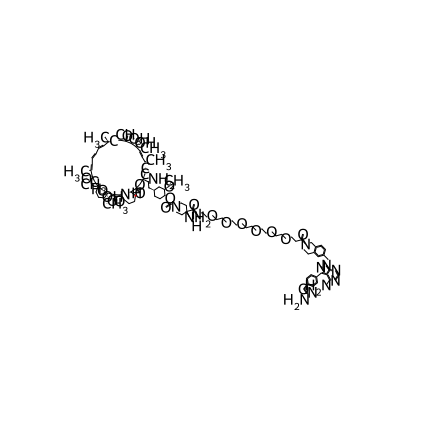 CO[C@H]1C[C@@H]2CC[C@@H](C)[C@@](O)(O2)C(=O)C(=O)N2CCCC[C@H]2C(=O)O[C@H]([C@H](N)C[C@@H]2CC[C@@H](OC(=O)N3CCC(N)(C(=O)NCCOCCOCCOCCOCCOCCOCCC(=O)N4CCc5cc(Cn6nc(-c7ccc8oc(N)nc8c7)c7c(N)ncnc76)ccc5C4)CC3)[C@H](OC)C2)CC[C@H](C)/C=C(\C)[C@@H](O)[C@@H](O)C(=O)[C@H](C)C[C@H](C)/C=C/C=C/C=C/1C